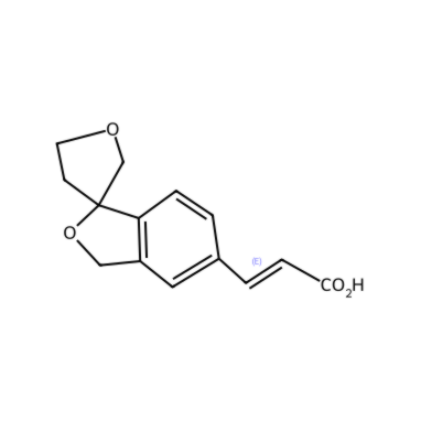 O=C(O)/C=C/c1ccc2c(c1)COC21CCOC1